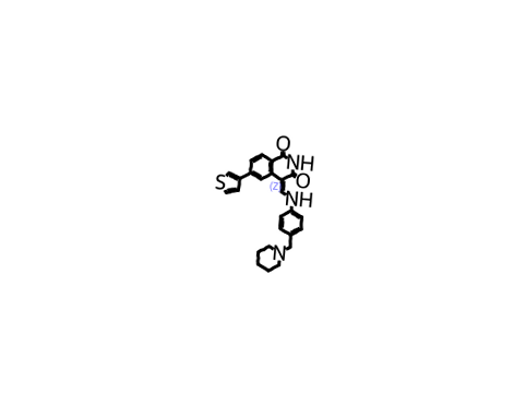 O=C1NC(=O)c2ccc(-c3ccsc3)cc2/C1=C/Nc1ccc(CN2CCCCC2)cc1